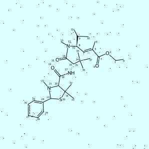 CCOC(=O)/C(C)=C/[C@H](C(C)C)N(C)C(=O)[C@@H](NC(=O)C1N(C)C(c2ccccc2)SC1(C)C)C(C)(C)C